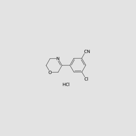 Cl.N#Cc1cc(Cl)cc(C2=NCCOC2)c1